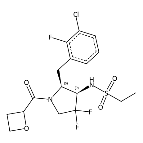 CCS(=O)(=O)N[C@@H]1[C@H](Cc2cccc(Cl)c2F)N(C(=O)C2CCO2)CC1(F)F